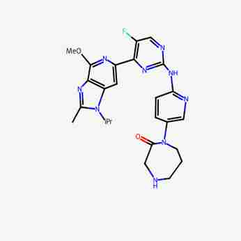 COc1nc(-c2nc(Nc3ccc(N4CCCNCC4=O)cn3)ncc2F)cc2c1nc(C)n2C(C)C